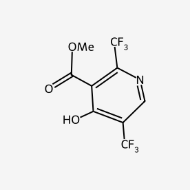 COC(=O)c1c(C(F)(F)F)ncc(C(F)(F)F)c1O